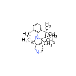 Cc1cccc2c1N1[C@@H](C)c3cnccc3C1(C)C(C)(C)C2(C)C